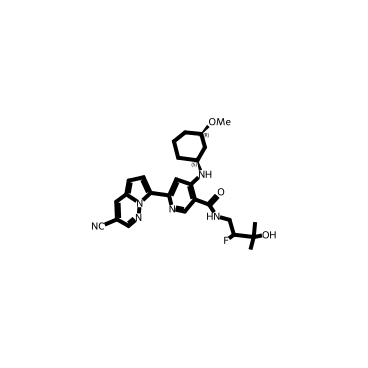 CO[C@@H]1CCC[C@H](Nc2cc(-c3ccc4cc(C#N)cnn34)ncc2C(=O)NCC(F)C(C)(C)O)C1